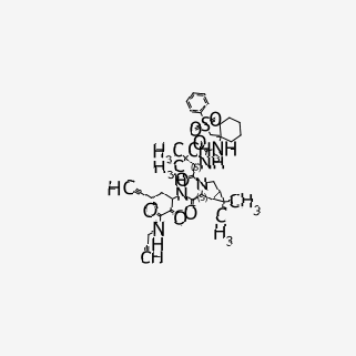 C#CCCC(NC(=O)[C@@H]1C2C(CN1C(=O)[C@@H](NC(=O)NC1(CS(=O)(=O)c3ccccc3)CCCCC1)C(C)(C)C)C2(C)C)C(=O)C(=O)NCC#C